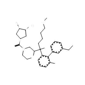 CCc1cccc(-c2c(Cl)cccc2C(O)(CCCCOC)C2CN(C(=O)[C@H]3C[C@@H](N)[C@@H](O)C3)CCO2)c1